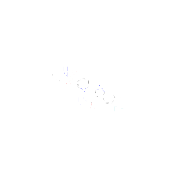 C[C@@H](CF)NS(=O)(=O)c1ccc(-c2c(C(N)=O)c3cc(F)c(OC(F)F)cc3n2C2CCC2)nc1